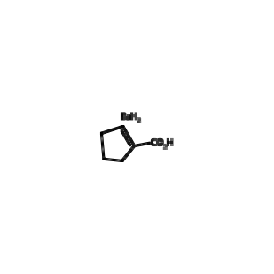 O=C(O)C1=CCCC1.[BaH2]